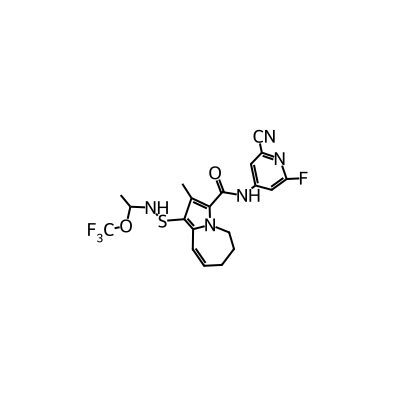 Cc1c(SNC(C)OC(F)(F)F)c2n(c1C(=O)Nc1cc(F)nc(C#N)c1)CCCC=C2